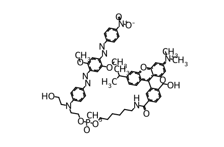 COc1cc(/N=N/c2ccc([N+](=O)[O-])cc2)c(OC)cc1/N=N/c1ccc(N(CCO)CCOP(C)(=O)OCCCCCCNC(=O)c2ccc(C(=O)O)c(-c3c4ccc(=[N+](C)C)cc-4oc4cc(C(C)C)ccc34)c2)cc1